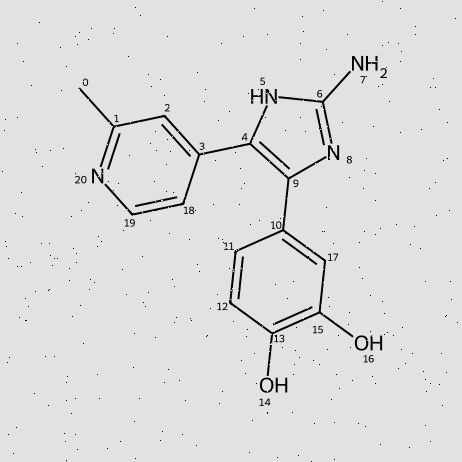 Cc1cc(-c2[nH]c(N)nc2-c2ccc(O)c(O)c2)ccn1